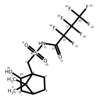 CC1(C)C2CCC1(CS(=O)(=O)NC(=O)C(F)(F)C(F)(F)C(F)(F)F)C(O)C2